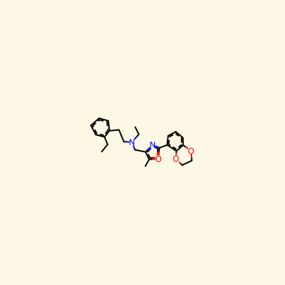 CCc1ccccc1CCN(CC)Cc1nc(-c2cccc3c2OCCO3)oc1C